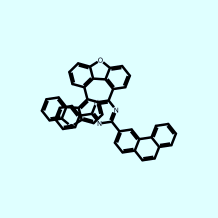 c1ccc(-c2nc(-c3ccc4ccc5ccccc5c4c3)nc(-c3cccc4oc5cccc(-c6cccc7oc8ccccc8c67)c5c34)n2)cc1